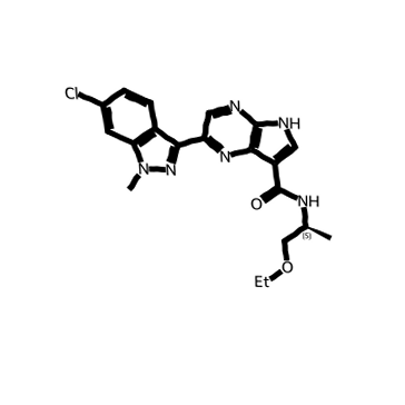 CCOC[C@H](C)NC(=O)c1c[nH]c2ncc(-c3nn(C)c4cc(Cl)ccc34)nc12